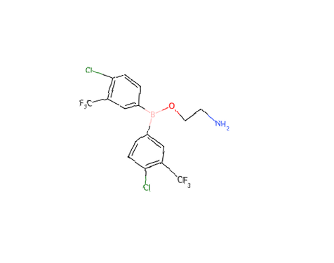 NCCOB(c1ccc(Cl)c(C(F)(F)F)c1)c1ccc(Cl)c(C(F)(F)F)c1